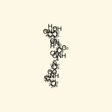 COc1cc(NC(=O)CCN2CCC(OC(=O)Nc3cscc3-c3ccccc3)CC2)c(Cl)cc1CNC[C@H](O)c1ccc(O)c2[nH]c(=O)ccc12